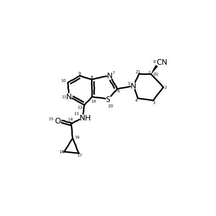 N#C[C@H]1CCCN(c2nc3ccnc(NC(=O)C4CC4)c3s2)C1